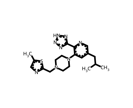 Cc1cnc(CN2CCN(c3cc(CC(C)C)cnc3-c3nn[nH]n3)CC2)s1